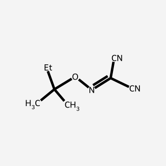 CCC(C)(C)ON=C(C#N)C#N